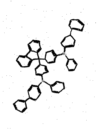 C1=CC(N(c2ccc(-c3ccccc3)cc2)c2ccc(C3(C4C=CC(N(C5=CCC(c6ccccc6)C=C5)c5ccccc5)=CC4)c4ccccc4-c4ccccc43)cc2)=CCC1